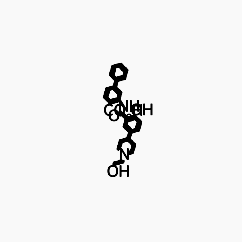 O=C(Nc1cc(-c2ccccc2)ccc1C(=O)O)c1cc(C2CCN(CCO)CC2)ccc1O